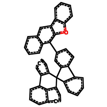 c1ccc2c(c1)-c1ccc(-c3c4ccccc4cc4c3oc3ccccc34)cc1C21c2ccccc2-c2cccc3cccc1c23